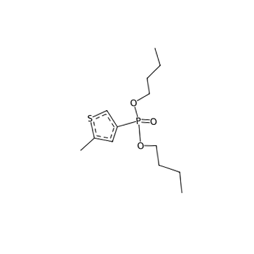 CCCCOP(=O)(OCCCC)c1csc(C)c1